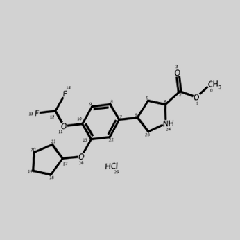 COC(=O)C1CC(c2ccc(OC(F)F)c(OC3CCCC3)c2)CN1.Cl